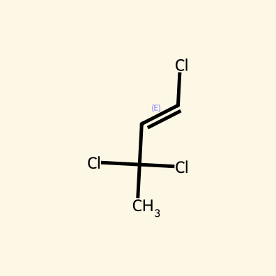 CC(Cl)(Cl)/C=C/Cl